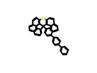 c1ccc(-c2ccc(-c3ccc(C4(c5ccccc5)c5c(ccc6ccccc56)Sc5ccc6ccccc6c54)cc3)cc2)cc1